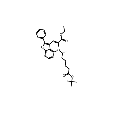 CCOC(=O)/C(C)=C/c1c(-c2ccccc2)oc2ncnc(O[C@H](C)CCCCC(=O)OC(C)(C)C)c12